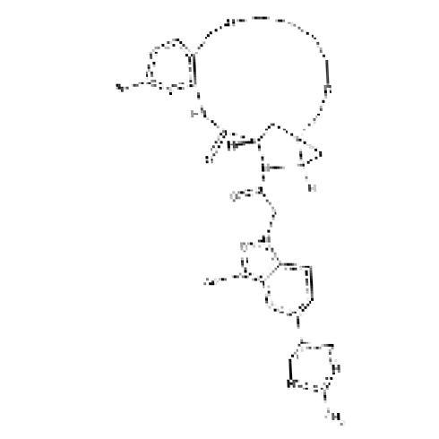 CC(=O)c1nn(CC(=O)N2[C@H]3C[C@@]4(COCCCCOCc5ccc(Br)nc5NC3=O)C[C@@H]24)c2ccc(-c3cnc(C)nc3)cc12